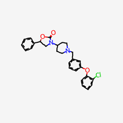 O=C1OC(c2ccccc2)CN1C1CCN(Cc2cccc(Oc3ccccc3Cl)c2)CC1